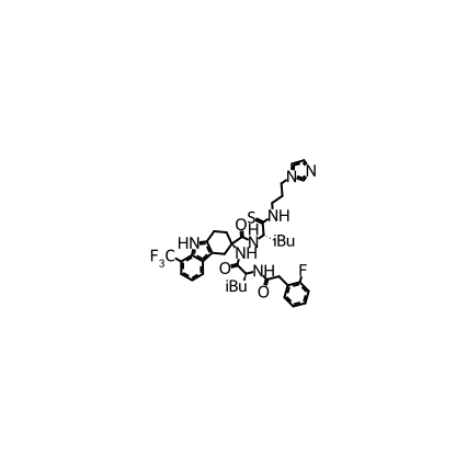 CCC(C)[C@H](NC(=O)Cc1ccccc1F)C(=O)N[C@]1(C(=O)N[C@H](C(=S)NCCCn2ccnc2)C(C)CC)CCc2[nH]c3c(C(F)(F)F)cccc3c2C1